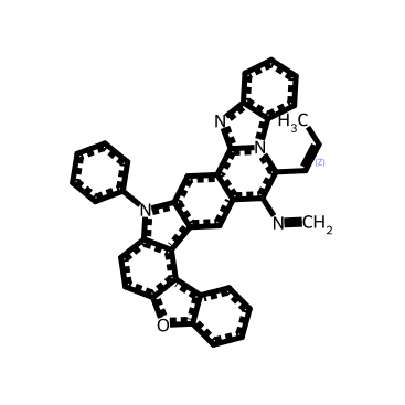 C=Nc1c(/C=C\C)n2c3ccccc3nc2c2cc3c(cc12)c1c2c(ccc1n3-c1ccccc1)oc1ccccc12